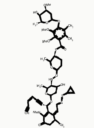 C#C/C=C\C#C[C@H](OC1CC(O)[C@H](NOC2CC[C@H](SC(=O)c3c(C)c(C)c(OC4C[C@H](OC)C(O)[C@H](C)O4)c(OC)c3OC)C(C)O2)C(C)O1)C1=C(NC)C(=O)CC(C)/C1=C/CSSC1CC1